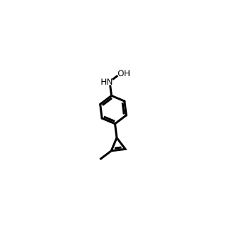 CC1=CC1c1ccc(NO)cc1